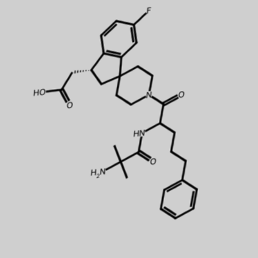 CC(C)(N)C(=O)NC(CCCc1ccccc1)C(=O)N1CCC2(CC1)C[C@H](CC(=O)O)c1ccc(F)cc12